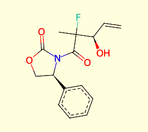 C=C[C@@H](O)C(C)(F)C(=O)N1C(=O)OC[C@@H]1c1ccccc1